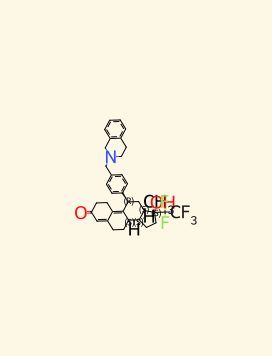 C[C@]12C[C@H](c3ccc(CN4CCc5ccccc5C4)cc3)C3=C4CCC(=O)C=C4CC[C@H]3[C@@H]1CC[C@@]2(O)C(F)(F)C(F)(F)F